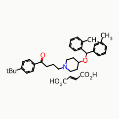 Cc1cccc(C(OC2CCN(CCCC(=O)c3ccc(C(C)(C)C)cc3)CC2)c2ccccc2C)c1.O=C(O)C=CC(=O)O